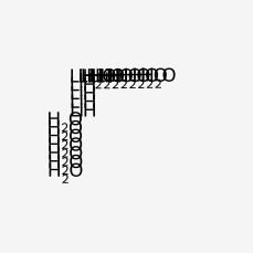 O.O.O.O.O.O.O.O.O.O.O.O.O.O.O.[LiH].[LiH].[LiH].[LiH].[LiH].[LiH].[LiH].[LiH]